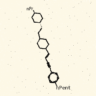 CCCCCc1ccc(C#C/C=C/C2CCC(CC[C@H]3CC[C@H](CCC)CC3)CC2)cc1